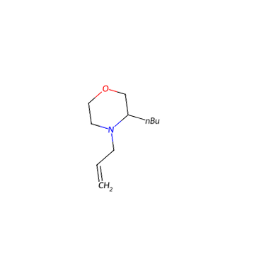 C=CCN1CCOCC1CCCC